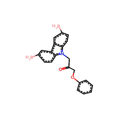 Bc1ccc2c(c1)c1cc(B)ccc1n2CC(=O)COc1ccccc1